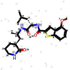 COc1cccc2sc(C(=O)N[C@@H](CC(C)C)C(=O)N[C@H](C)C[C@@H]3CCCNC3=O)cc12